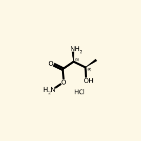 C[C@@H](O)[C@H](N)C(=O)ON.Cl